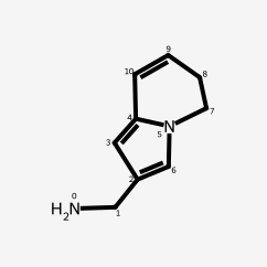 NCc1cc2n(c1)CCC=C2